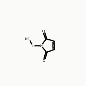 N#CON1C(=O)C=CC1=O